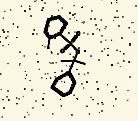 Cc1ccccc1S(=O)(=O)OC(C)(C)c1ccccc1